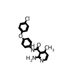 Cc1ccnc(N)c1C(=O)Nc1ccc(Oc2ccc(Cl)cc2)cc1